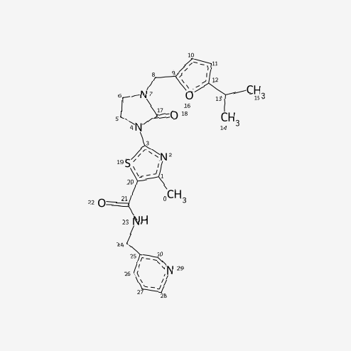 Cc1nc(N2CCN(Cc3ccc(C(C)C)o3)C2=O)sc1C(=O)NCc1cccnc1